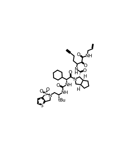 C#CCCC(NC(=O)[C@@H]1[C@H]2CCC[C@H]2CN1C(=O)[C@@H](NC(=O)N[C@H](CN1Cc2sccc2S1(=O)=O)C(C)(C)C)C1CCCCC1)C(=O)C(=O)NCC=C